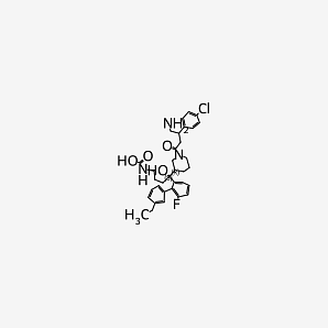 CCc1cccc(-c2c(F)cccc2[C@](O)(CCCNC(=O)O)[C@@H]2CCCN(C(=O)CC(CN)c3ccc(Cl)cc3)C2)c1